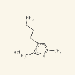 Cc1cn(CCCN)c(C)n1.Cl